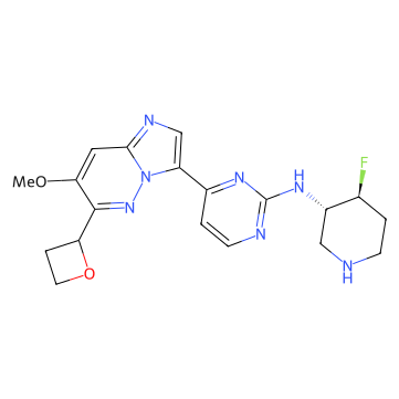 COc1cc2ncc(-c3ccnc(N[C@H]4CNCC[C@@H]4F)n3)n2nc1C1CCO1